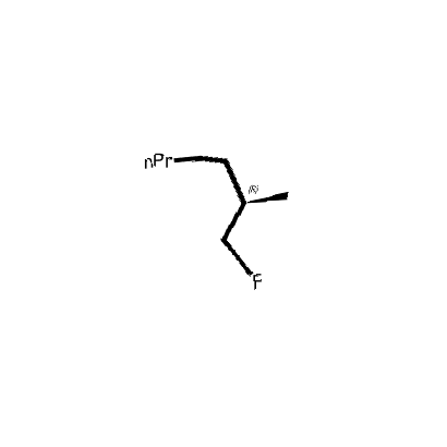 CCCC[C@@H](C)CF